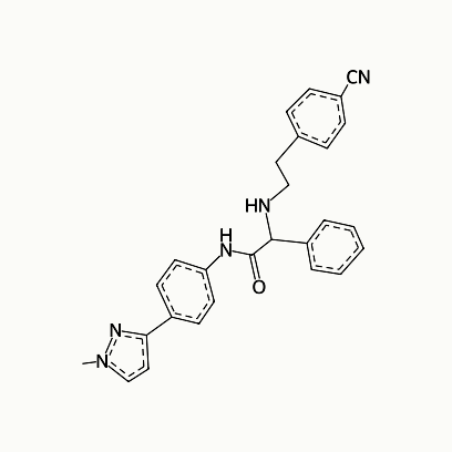 Cn1ccc(-c2ccc(NC(=O)C(NCCc3ccc(C#N)cc3)c3ccccc3)cc2)n1